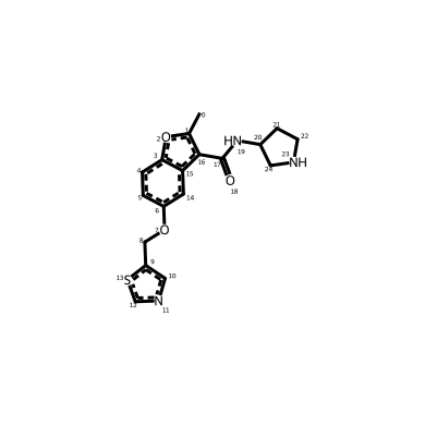 Cc1oc2ccc(OCc3cncs3)cc2c1C(=O)NC1CCNC1